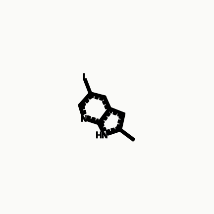 Cc1cc2cc(I)cnc2[nH]1